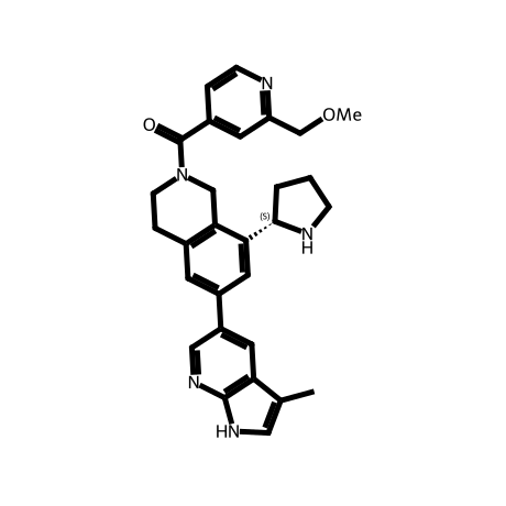 COCc1cc(C(=O)N2CCc3cc(-c4cnc5[nH]cc(C)c5c4)cc([C@@H]4CCCN4)c3C2)ccn1